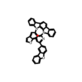 c1cc(-c2ccc3oc4ccccc4c3c2)nc(-n2c3ccccc3c3ccc4c5ccccc5n(-c5ccc6occc6c5)c4c32)c1